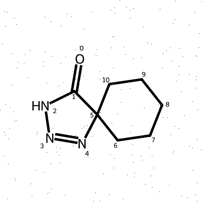 O=C1NN=NC12CCCCC2